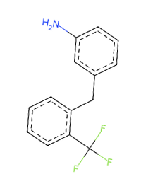 Nc1cccc(Cc2ccccc2C(F)(F)F)c1